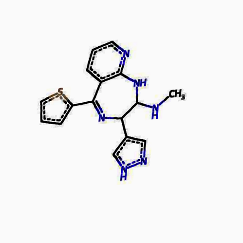 CNC1Nc2ncccc2C(c2cccs2)=NC1c1cn[nH]c1